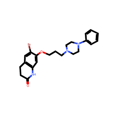 O=C1CCc2cc(Br)c(OCCCN3CCN(c4ccccc4)CC3)cc2N1